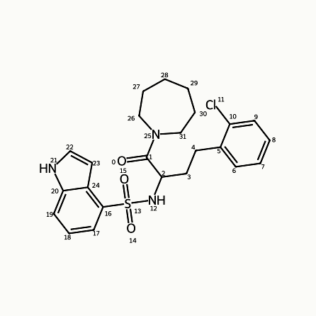 O=C(C(CCc1ccccc1Cl)NS(=O)(=O)c1cccc2[nH]ccc12)N1CCCCCC1